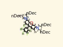 CCCCCCCCCCCCN(CCCCCCCCCCCC)c1cc2oc3cc(=[N+](CCCCCCCCCCCC)CCCCCCCCCCCC)ccc-3c(-c3c(F)c(F)c(F)c(F)c3F)c2cc1C